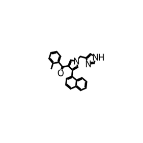 Cc1ccccc1C(=O)c1cn(Cc2c[nH]cn2)cc1-c1cccc2ccccc12